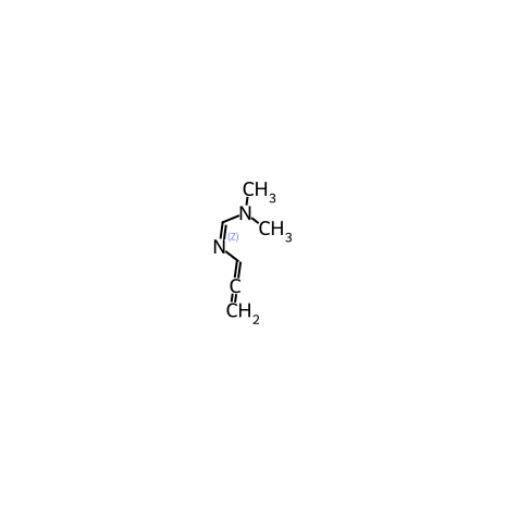 C=C=C/N=C\N(C)C